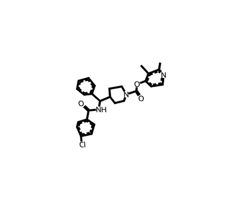 Cc1nccc(OC(=O)N2CCC(C(NC(=O)c3ccc(Cl)cc3)c3ccccc3)CC2)c1C